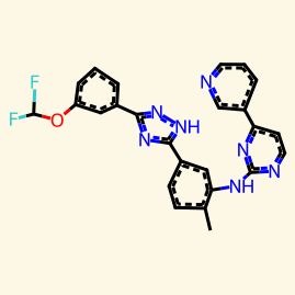 Cc1ccc(-c2nc(-c3cccc(OC(F)F)c3)n[nH]2)cc1Nc1nccc(-c2cccnc2)n1